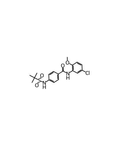 COc1ccc(Cl)cc1NC(=O)c1ccc(NS(=O)(=O)C(C)(C)C)cc1